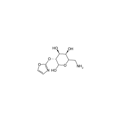 NCC1OC(O)[C@H](Oc2ncco2)[C@@H](O)[C@H]1O